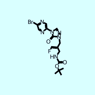 CC(C)(C)OC(=O)NCC(=CF)Cn1ncn(-c2cnc(Br)cn2)c1=O